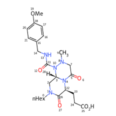 CCCCCCN1C[C@H]2N(C(=O)CN(C)N2C(=O)NCc2ccc(OC)cc2)[C@@H](CCC(=O)O)C1=O